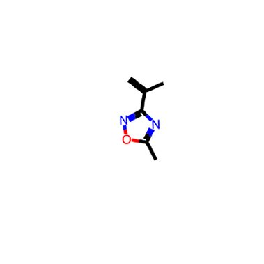 C=C(C)c1noc(C)n1